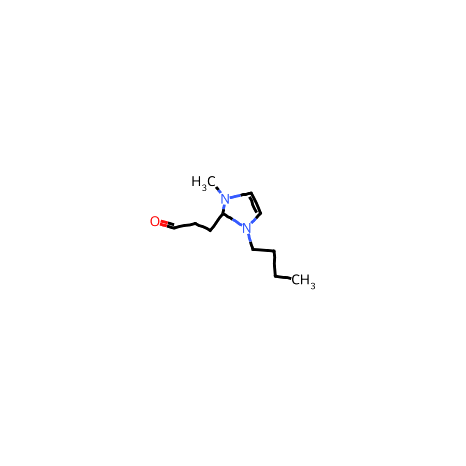 CCCCN1C=CN(C)C1CCC=O